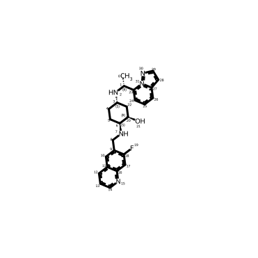 C[C@@H](N[C@H]1CC[C@H](NCc2cc3cccnc3cc2F)[C@H](O)C1)c1cccc2ccnn12